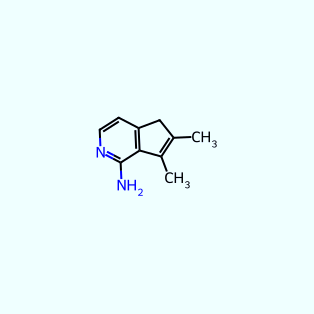 CC1=C(C)c2c(ccnc2N)C1